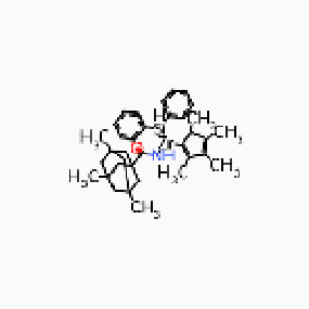 CC1=C(C)C(C)[C]([Zr]([NH]C(=O)C23CC4(C)CC(C)(CC(C)(C4)C2)C3)[SiH](c2ccccc2)c2ccccc2)=C1C